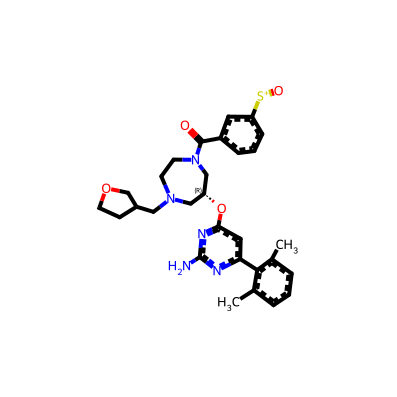 Cc1cccc(C)c1-c1cc(O[C@@H]2CN(CC3CCOC3)CCN(C(=O)c3cccc([S+]=O)c3)C2)nc(N)n1